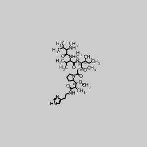 CC[C@H](C)[C@@H]([C@@H](CC(=O)N1CCCC1[C@H](OC)[C@@H](C)C(=O)NCCc1c[nH]cn1)OC)N(C)C(=O)C(NC(=O)C(NC)C(C)C)C(C)C